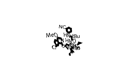 C=C[C@@H]1C[C@@]1(C(=O)NS(=O)(=O)C1CC1)N1C[C@H](Oc2ncc(OC)c3ccc(Cl)cc23)C[C@H]1C(=O)NC(=O)[C@@H](Nc1cccc(C#N)c1)C(C)(C)C